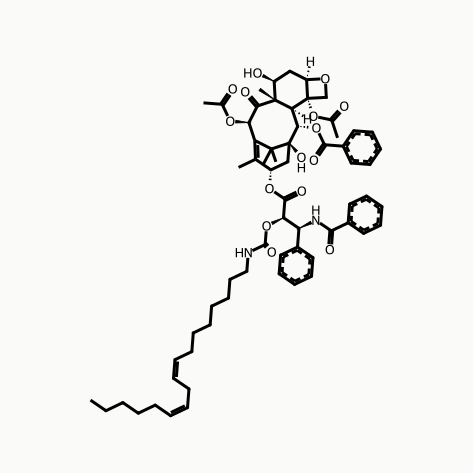 CCCCC/C=C\C/C=C\CCCCCCCNC(=O)O[C@@H](C(=O)O[C@H]1C[C@@]2(O)[C@@H](OC(=O)c3ccccc3)[C@@H]3[C@]4(OC(C)=O)CO[C@@H]4C[C@H](O)[C@@]3(C)C(=O)[C@H](OC(C)=O)C(=C1C)C2(C)C)[C@@H](NC(=O)c1ccccc1)c1ccccc1